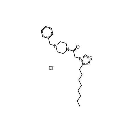 CCCCCCCCc1csc[n+]1CC(=O)N1CCN(Cc2ccccc2)CC1.[Cl-]